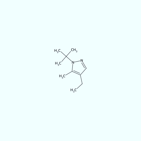 CCc1cnn(C(C)(C)C)c1C